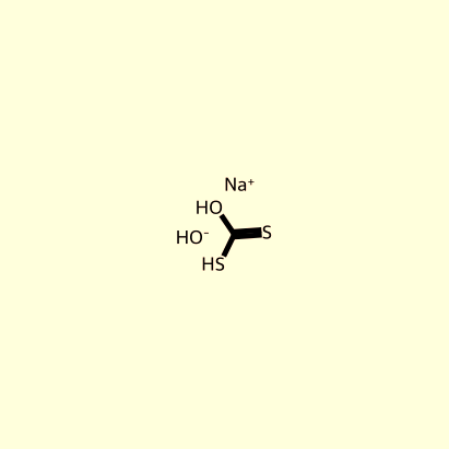 OC(=S)S.[Na+].[OH-]